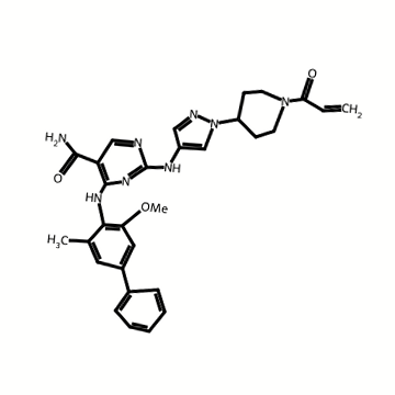 C=CC(=O)N1CCC(n2cc(Nc3ncc(C(N)=O)c(Nc4c(C)cc(-c5ccccc5)cc4OC)n3)cn2)CC1